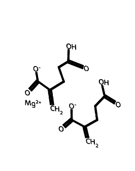 C=C(CCC(=O)O)C(=O)[O-].C=C(CCC(=O)O)C(=O)[O-].[Mg+2]